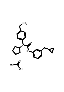 CCc1ccc([C@@H](C(=O)Nc2cccc(CC3CC3)c2)C2CCCC2)cc1.O=C(O)O